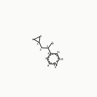 [CH2]C(CC1CC1)c1ccncc1